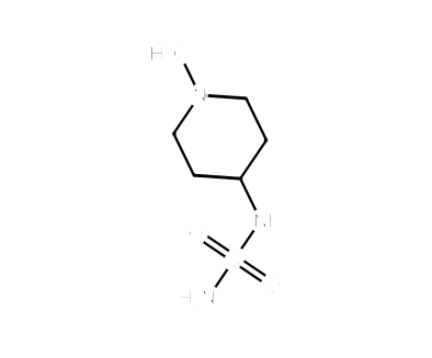 CN1CCC(NS(N)(=O)=O)CC1